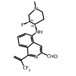 C=C(c1nc(C=O)cc2c(N[C@@H]3CCN(C)C[C@@H]3F)cccc12)C(F)(F)F